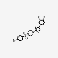 O=S(=O)(c1ccc(Br)cc1)N1CCN(c2nc(-c3ccc(F)c(F)c3)cs2)CC1